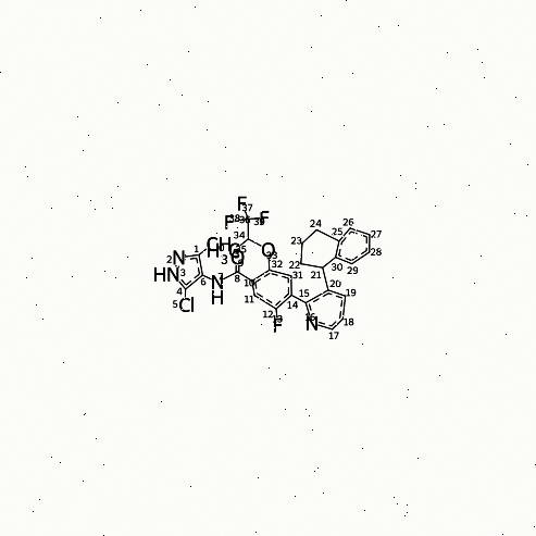 Cc1n[nH]c(Cl)c1NC(=O)c1cc(F)c(-c2ncccc2C2CCCc3ccccc32)cc1OC(C)C(F)(F)F